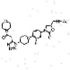 CC(=O)NCC1CN(c2ccc(N3CCC(n4nnnc4CC(=O)N4CCOCC4)CC3)c(F)c2)C(=O)O1